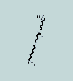 CCCCCCCCOCCCC(=O)OCCCCCC